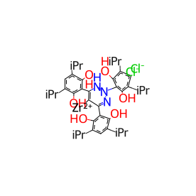 CC(C)c1cc(C(C)C)c(O)c(C2=NN(c3c(O)c(C(C)C)cc(C(C)C)c3O)NC(c3c(O)c(C(C)C)cc(C(C)C)c3O)=[C]2[Zr+2])c1O.[Cl-].[Cl-]